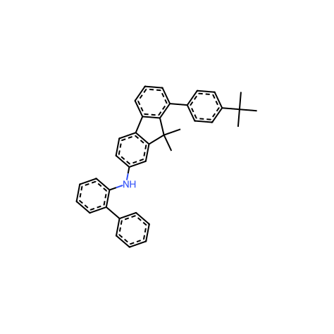 CC(C)(C)c1ccc(-c2cccc3c2C(C)(C)c2cc(Nc4ccccc4-c4ccccc4)ccc2-3)cc1